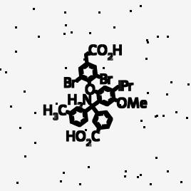 COc1cc(C(N)(c2cccc(C)c2)c2cccc(C(=O)O)c2)c(Oc2c(Br)cc(CC(=O)O)cc2Br)cc1C(C)C